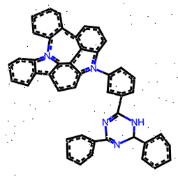 c1ccc(C2=NC(c3ccccc3)NC(c3cccc(-n4c5cccc6c7ccccc7n7c8ccccc8c8ccc4c(c65)c87)c3)=N2)cc1